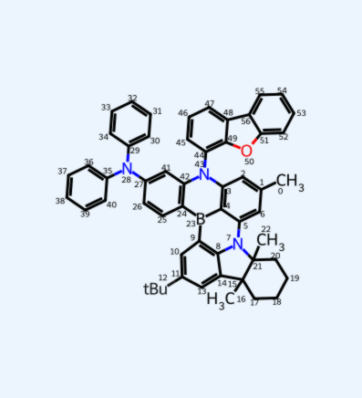 Cc1cc2c3c(c1)N1c4c(cc(C(C)(C)C)cc4C4(C)CCCCC14C)B3c1ccc(N(c3ccccc3)c3ccccc3)cc1N2c1cccc2c1oc1ccccc12